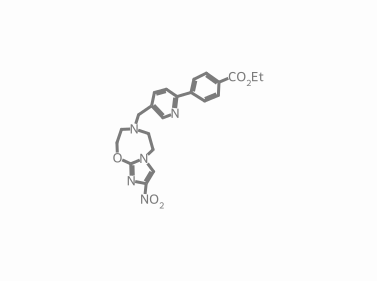 CCOC(=O)c1ccc(-c2ccc(CN3CCOc4nc([N+](=O)[O-])cn4CC3)cn2)cc1